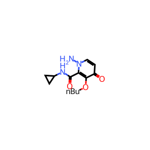 CCCCOc1c(C(=O)NC2CC2)n(N)ccc1=O